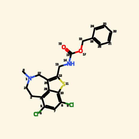 CN1CCc2c(Cl)cc(Cl)c3sc(CNC(=O)OCc4ccccc4)c(c23)C1